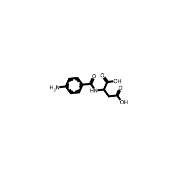 Nc1ccc(C(=O)NC(CC(=O)O)C(=O)O)cc1